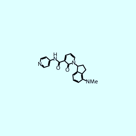 CNc1cccc2c1CCC2n1cccc(C(=O)Nc2ccncc2)c1=O